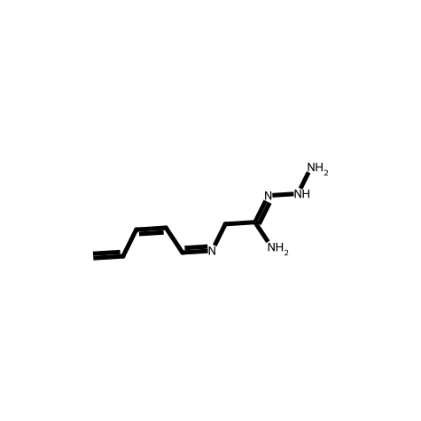 C=C/C=C\C=N/C/C(N)=N/NN